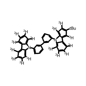 [2H]c1c([2H])c([2H])c2c(c1[2H])c1c([2H])c([2H])c([2H])c([2H])c1n2-c1cccc(-c2cccc(-n3c4c([2H])c([2H])c([2H])c([2H])c4c4c([2H])c(C(C)(C)C)c([2H])c([2H])c43)c2)c1